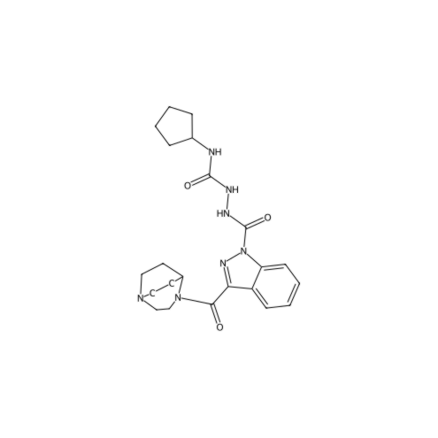 O=C(NNC(=O)n1nc(C(=O)N2CCN3CCC2CC3)c2ccccc21)NC1CCCC1